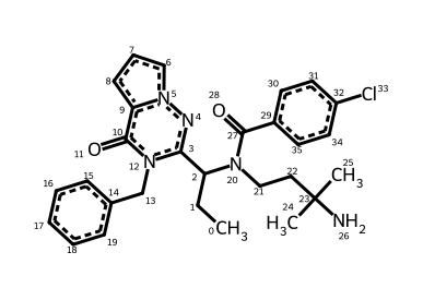 CCC(c1nn2cccc2c(=O)n1Cc1ccccc1)N(CCC(C)(C)N)C(=O)c1ccc(Cl)cc1